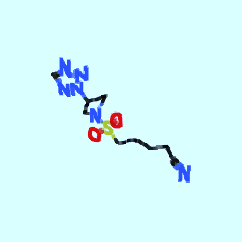 N#CCCCCS(=O)(=O)N1CC(n2ncnn2)C1